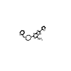 Nc1nc(N2CCCN(Cc3ccccn3)CC2)nc2nc(-c3ccco3)nn12